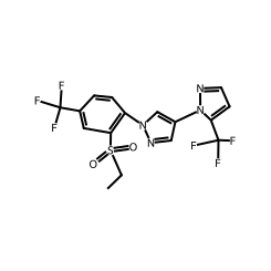 CCS(=O)(=O)c1cc(C(F)(F)F)ccc1-n1cc(-n2nccc2C(F)(F)F)cn1